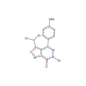 CCC(CC)c1onc2c(=O)n(CC)nc(-c3ccc(SC)cc3)c12